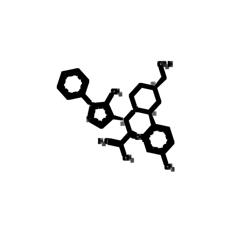 C=C(C)C(=C)[C@H](c1cnn(-c2ccccc2)c1C)N1CC[C@@H](CC(=O)O)C[C@H]1c1ccc(C(F)(F)F)cc1